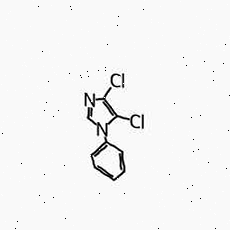 Clc1ncn(-c2ccccc2)c1Cl